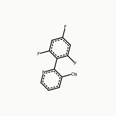 N#Cc1cccnc1-c1c(F)cc(F)cc1F